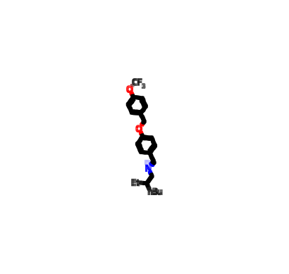 CCCCC(CC)C/N=C/c1ccc(OCc2ccc(OC(F)(F)F)cc2)cc1